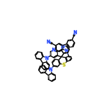 N#Cc1ccc2c(c1)c1cc(C#N)ccc1n2-c1cccc2c1C1(c3ccc(-n4c5ccccc5c5ccccc54)cc3S2)c2cccnc2-c2ncc(-n3c4ccccc4c4ccccc43)cc21